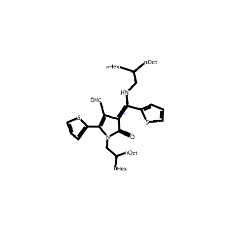 CCCCCCCCC(CCCCCC)CN/C(=C1/C(=O)N(CC(CCCCCC)CCCCCCCC)C(c2cccs2)=C1C=O)c1cccs1